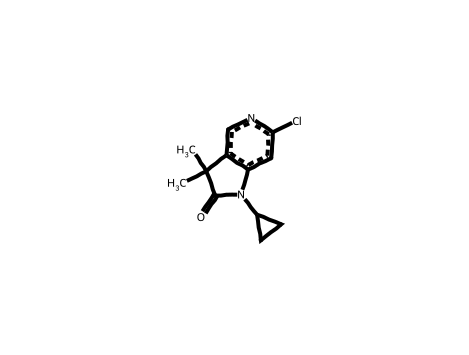 CC1(C)C(=O)N(C2CC2)c2cc(Cl)ncc21